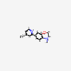 CC(C)c1ccnc(-c2ccc3c(c2)OCCN3C)c1